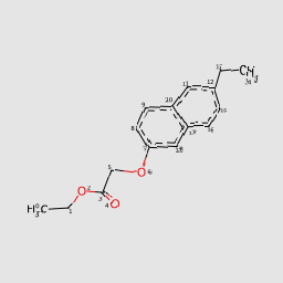 CCOC(=O)COc1ccc2cc(CC)ccc2c1